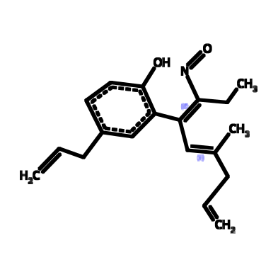 C=CC/C(C)=C/C(=C(\CC)N=O)c1cc(CC=C)ccc1O